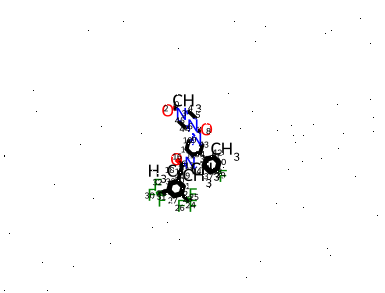 CC(=O)N1CCN(C(=O)N2CC[C@H](N(C)C(=O)C(C)(C)c3cc(C(F)(F)F)cc(C(F)(F)F)c3)[C@@H](c3ccc(F)cc3C)C2)CC1